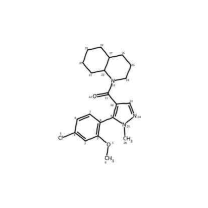 COc1cc(Cl)ccc1-c1c(C(=O)N2CCCC3CCCCC32)cnn1C